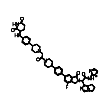 O=C1CCC(Nc2ccc(C3CCN(CC(=O)N4CCC(c5ccc(-c6cc(F)c7c(c6)C(=O)N(C(C(=O)Nc6nccs6)c6ncn8c6CCC8)C7)cc5)CC4)CC3)cc2)C(=O)N1